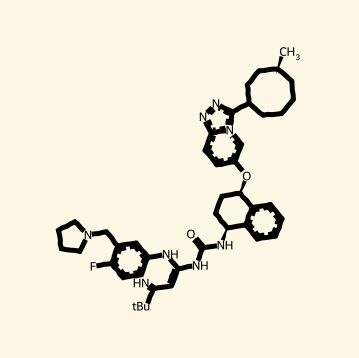 C[C@H]1CCCCC(c2nnc3ccc(O[C@@H]4CC[C@H](NC(=O)N/C(=C/C(=N)C(C)(C)C)Nc5ccc(F)c(CN6CCCC6)c5)c5ccccc54)cn23)CC1